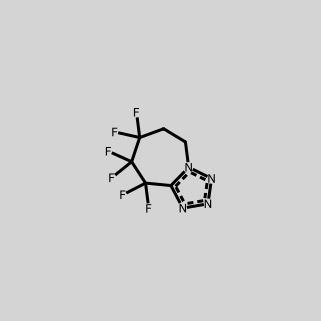 FC1(F)CCn2nnnc2C(F)(F)C1(F)F